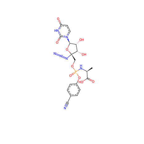 C[C@H](NP(=O)(OC[C@@]1(N=[N+]=[N-])O[C@@H](n2ccc(=O)[nH]c2=O)[C@H](O)[C@@H]1O)Oc1ccc(C#N)cc1)C(=O)O